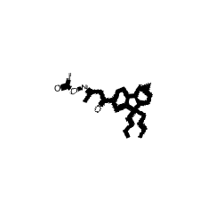 CCCCC1(CCCC)c2ccccc2-c2ccc(C(=O)C/C(C)=N/OC(=O)I)cc21